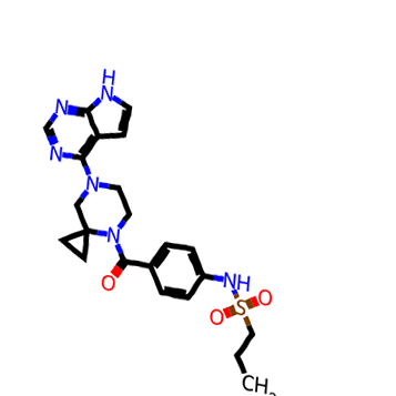 CCCS(=O)(=O)Nc1ccc(C(=O)N2CCN(c3ncnc4[nH]ccc34)CC23CC3)cc1